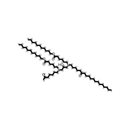 CCCCCCCCCCCCCC(=O)CCCCCN(CCCCCC(=O)OCCCCCCCCCCC)CC(O)CN(CCCCCC(C)=O)CCCCCC(=O)OCCCCCCCCCCC